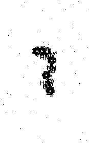 CC(C)CCN(C)c1ccc(-c2noc(-c3cccc(C(=O)NS(=O)(=O)c4ccccc4)c3)n2)cc1NCc1ccc2ccccc2c1